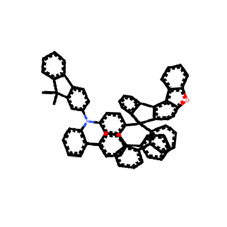 CC1(C)c2ccccc2-c2ccc(N(c3ccc4c(c3)-c3ccccc3-c3ccccc3C43c4ccccc4-c4c3ccc3oc5ccccc5c43)c3ccccc3-c3ccc(-c4ccccc4)cc3)cc21